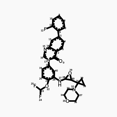 O=c1c2ccc(-c3ccccc3F)cc2ncn1-c1ccc(OC(F)F)c(NC2OC2C2(N3CCOCC3)CC2)c1